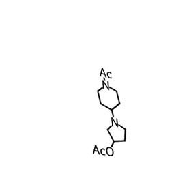 CC(=O)OC1CCN(C2CCN(C(C)=O)CC2)C1